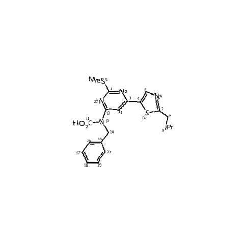 CSc1nc(-c2cnc(CC(C)C)s2)cc(N(Cc2ccccc2)C(=O)O)n1